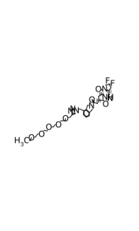 CCOCCOCCOCCOCCOCc1cn(Cc2cccc3c2CN(C(=O)C[C@H]2C[C@H](C(=O)N4CC(F)(F)C[C@H]4C#N)NC2=O)C3)nn1